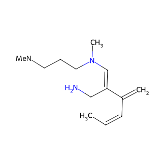 C=C(/C=C\C)/C(=C/N(C)CCCNC)CN